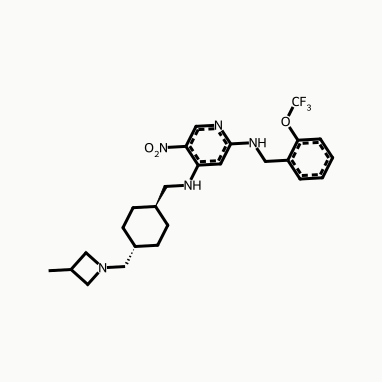 CC1CN(C[C@H]2CC[C@H](CNc3cc(NCc4ccccc4OC(F)(F)F)ncc3[N+](=O)[O-])CC2)C1